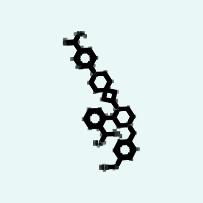 COc1ccc(CN2CCN(C3CC4(CCN(c5ccc(C(N)=O)cn5)CC4)C3)C(c3ccccc3C(C)C)C2)cc1